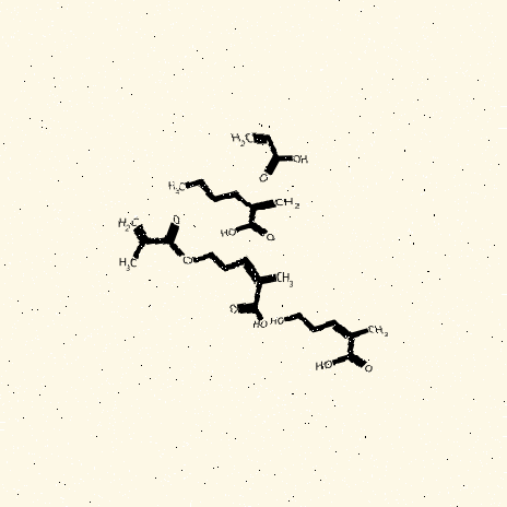 C=C(C)C(=O)OCCC=C(C)C(=O)O.C=C(CCCC)C(=O)O.C=CC(=O)O.CC(=CCCO)C(=O)O